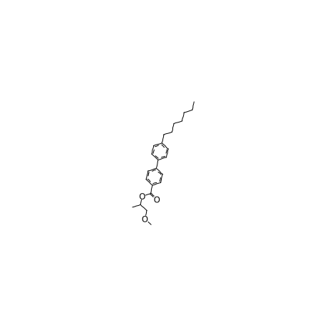 CCCCCCCc1ccc(-c2ccc(C(=O)OC(C)COC)cc2)cc1